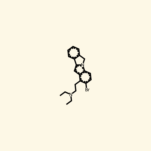 CCN(CC)CCc1c(Br)ccc2c1cc1n2Cc2ccccc2-1